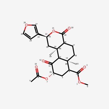 COC(=O)C1C[C@H](OC(C)=O)C(=O)C2[C@@]1(C)CCC1C(=O)O[C@H](c3ccoc3)C[C@@]12C